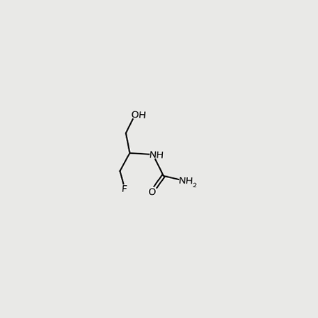 NC(=O)NC(CO)CF